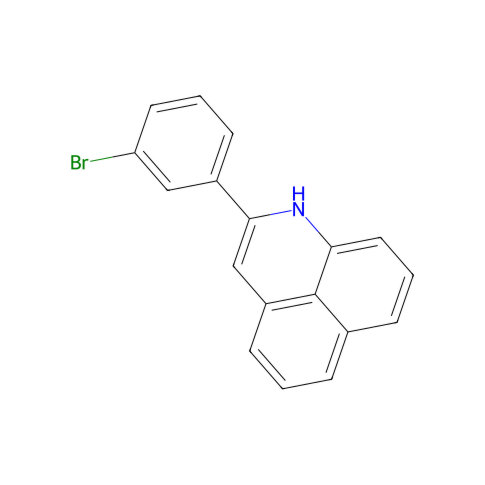 Brc1cccc(C2=Cc3cccc4cccc(c34)N2)c1